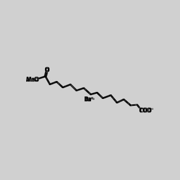 COC(=O)CCCCCCCCCCCCCCC(=O)[O-].[Ba+]